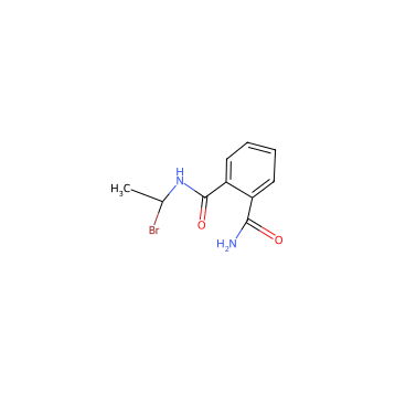 CC(Br)NC(=O)c1ccccc1C(N)=O